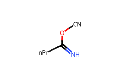 CCCC(=N)OC#N